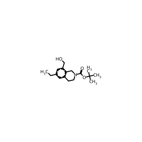 CCc1cc(CO)c2c(c1)CCN(C(=O)OC(C)(C)C)C2